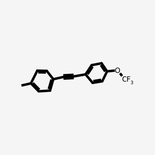 Cc1ccc(C#Cc2ccc(OC(F)(F)F)cc2)cc1